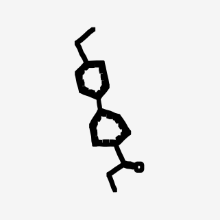 CCC(=O)c1ccc(-c2ccc(CC)cc2)cc1